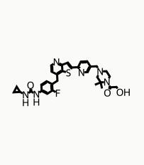 CC1(C)CN(Cc2ccc(-c3cc4nccc(Cc5ccc(NC(=O)NC6CC6)cc5F)c4s3)nc2)CCN1C(=O)CO